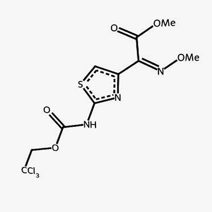 CO/N=C(\C(=O)OC)c1csc(NC(=O)OCC(Cl)(Cl)Cl)n1